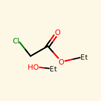 CCO.CCOC(=O)CCl